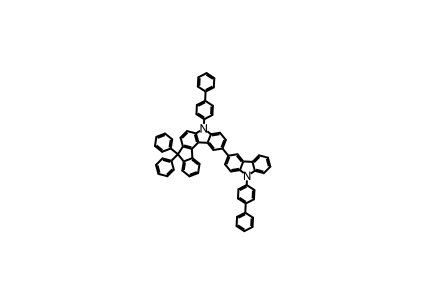 c1ccc(-c2ccc(-n3c4ccccc4c4cc(-c5ccc6c(c5)c5c7c(ccc5n6-c5ccc(-c6ccccc6)cc5)C(c5ccccc5)(c5ccccc5)c5ccccc5-7)ccc43)cc2)cc1